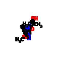 CCOC(=O)c1cc(Cc2ccccc2)cc2c1NCCC2NC(=O)C(N)Cc1c(C)cc(O)cc1C